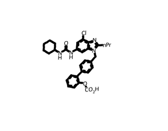 CCCc1nc2c(Cl)cc(NC(=O)NC3CCCCC3)cc2n1Cc1ccc(-c2ccccc2OC(=O)O)cc1